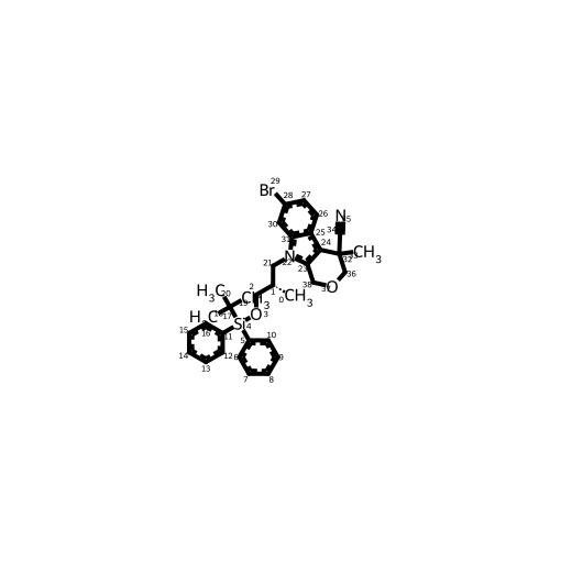 C[C@H](CO[Si](c1ccccc1)(c1ccccc1)C(C)(C)C)Cn1c2c(c3ccc(Br)cc31)C(C)(C#N)COC2